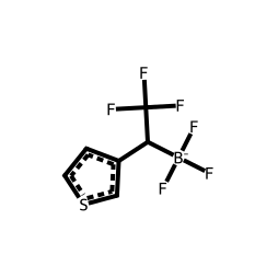 F[B-](F)(F)C(c1ccsc1)C(F)(F)F